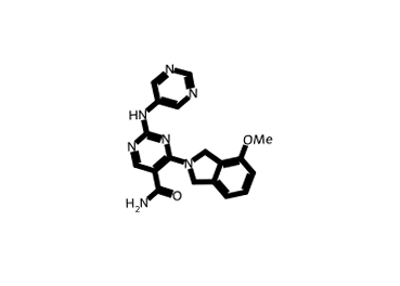 COc1cccc2c1CN(c1nc(Nc3cncnc3)ncc1C(N)=O)C2